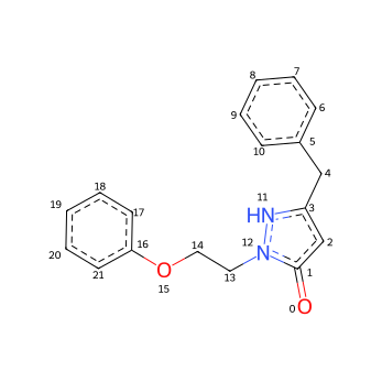 O=c1cc(Cc2ccccc2)[nH]n1CCOc1ccccc1